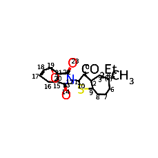 CCOC(=O)C1C2C[C@H](C)CCCC2SC1N1C(=O)C2C3C=CC(O3)C2C1=O